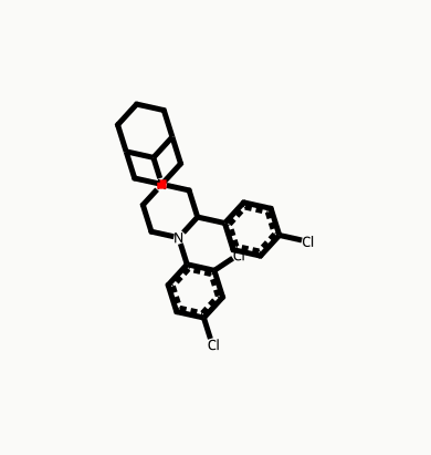 Clc1ccc(C2CN(C3C4CCCC3CCC4)CCN2c2ccc(Cl)cc2Cl)cc1